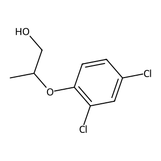 CC(CO)Oc1ccc(Cl)cc1Cl